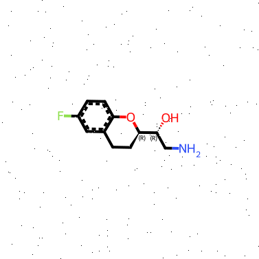 NC[C@@H](O)[C@H]1CCc2cc(F)ccc2O1